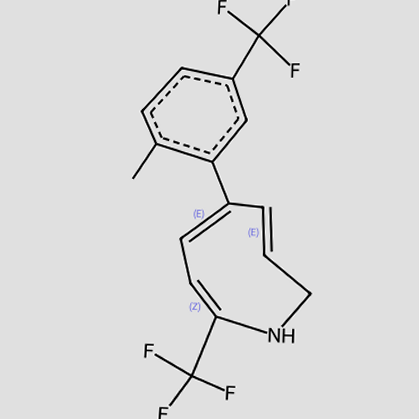 Cc1ccc(C(F)(F)F)cc1C1=C/C=C(/C(F)(F)F)NC\C=C\1